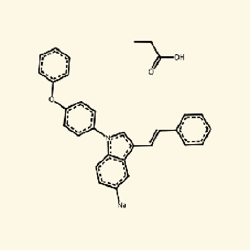 CCC(=O)O.[Na][c]1ccc2c(c1)c(C=Cc1ccccc1)cn2-c1ccc(Oc2ccccc2)cc1